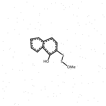 COSSc1ccc2ccccc2c1O